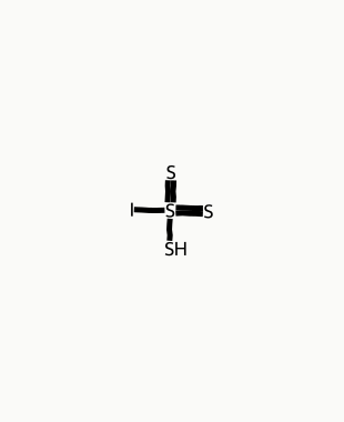 S=S(=S)(S)I